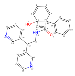 COC1(O)C=CC=C[C@@]1(C(=O)NCC(c1cccnc1)c1cccnc1)c1ccccc1